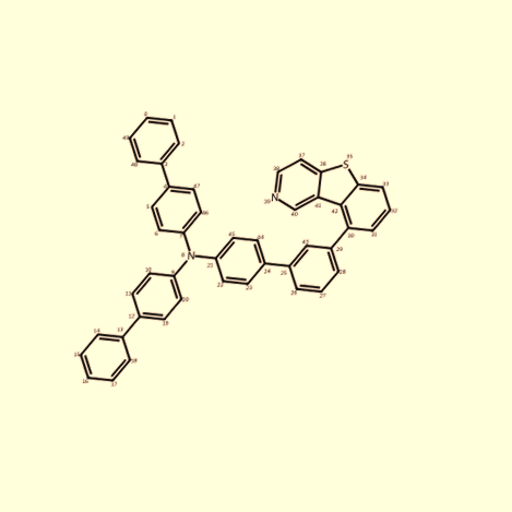 c1ccc(-c2ccc(N(c3ccc(-c4ccccc4)cc3)c3ccc(-c4cccc(-c5cccc6sc7ccncc7c56)c4)cc3)cc2)cc1